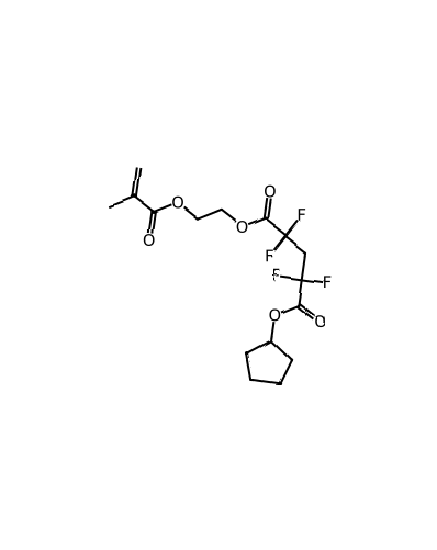 C=C(C)C(=O)OCCOC(=O)C(F)(F)CC(F)(F)C(=O)OC1CCCC1